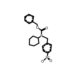 O=C(OCc1ccccc1)N(Cc1ccc([N+](=O)[O-])cc1)C1CCCCC1